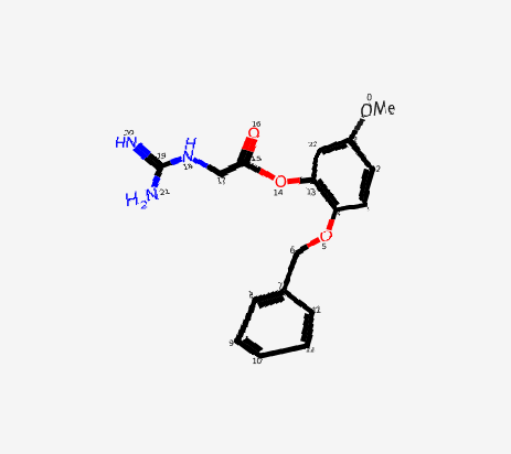 COc1ccc(OCc2ccccc2)c(OC(=O)CNC(=N)N)c1